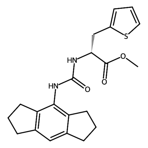 COC(=O)[C@@H](Cc1cccs1)NC(=O)Nc1c2c(cc3c1CCC3)CCC2